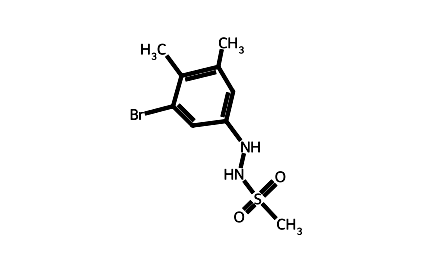 Cc1cc(NNS(C)(=O)=O)cc(Br)c1C